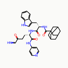 N=CC(=O)CC[C@H](NC(=O)[C@H](Cc1c[nH]c2ccccc12)NC(=O)C12CC3CC(CC(C3)C1)C2)C(=O)Nc1ccncc1